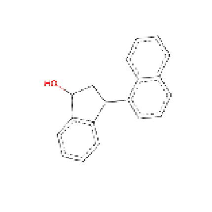 OC1CC(c2cccc3ccccc23)c2ccccc21